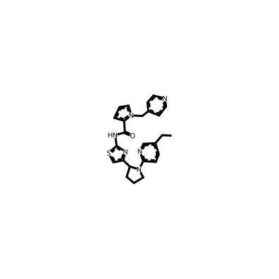 CCc1ccc(N2CCCC2c2csc(NC(=O)c3cccn3Cc3ccncc3)n2)nc1